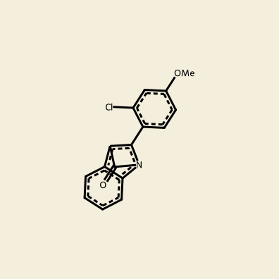 COc1ccc(-c2c3c4ccccc4n2C3=O)c(Cl)c1